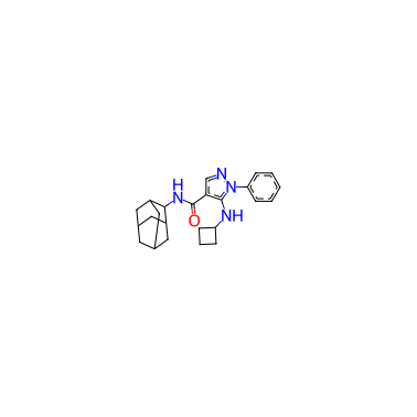 O=C(NC1C2CC3CC(C2)CC1C3)c1cnn(-c2ccccc2)c1NC1CCC1